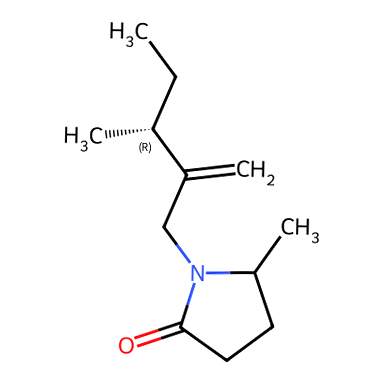 C=C(CN1C(=O)CCC1C)[C@H](C)CC